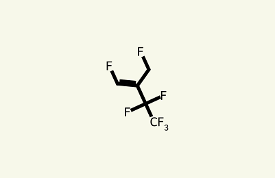 FC=C(CF)C(F)(F)C(F)(F)F